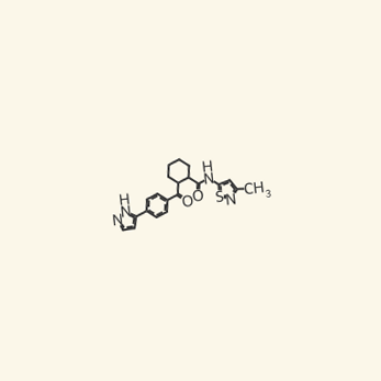 Cc1cc(NC(=O)C2CCCCC2C(=O)c2ccc(-c3ccn[nH]3)cc2)sn1